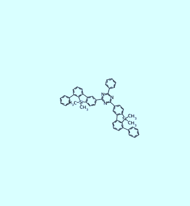 C[Si]1(C)c2ccc(-c3nc(-c4ccccc4)nc(-c4ccc5c(c4)-c4cccc(-c6ccccc6)c4[Si]5(C)C)n3)cc2-c2cccc(-c3ccccc3)c21